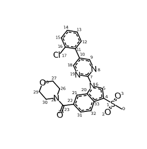 CS(=O)(=O)c1cn(-c2ncc(-c3ccccc3Cl)cn2)c2cc(C(=O)N3CCOCC3)ccc12